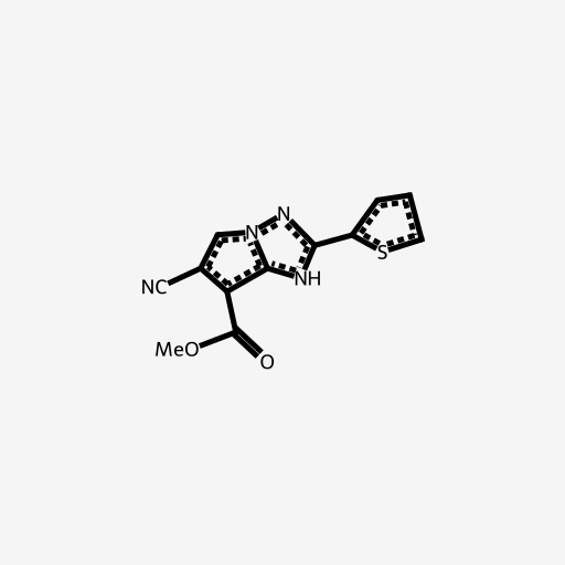 COC(=O)c1c(C#N)cn2nc(-c3cccs3)[nH]c12